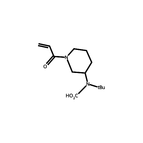 C=CC(=O)N1CCCC(N(C(=O)O)C(C)(C)C)C1